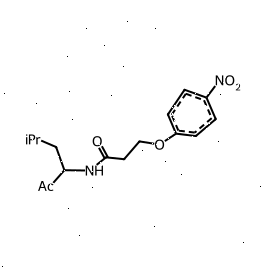 CC(=O)C(CC(C)C)NC(=O)CCOc1ccc([N+](=O)[O-])cc1